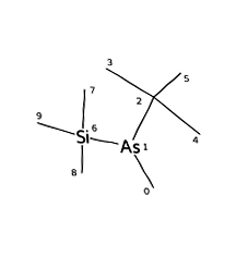 C[As](C(C)(C)C)[Si](C)(C)C